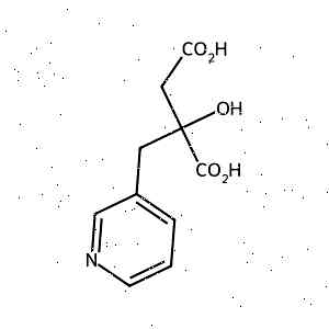 O=C(O)CC(O)(Cc1cccnc1)C(=O)O